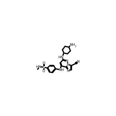 CNS(=O)(=O)c1ccc(Nc2cc(NC3CCC(N)CC3)nn3c(C#N)cnc23)cc1